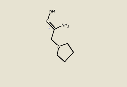 N/C(CN1CCCC1)=N\O